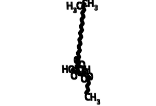 CCCCCC(=O)OC(=O)CC(O)(CC(=O)OCCCCCCCCCCCCCCCC(C)C)C(=O)O